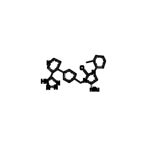 CCCCc1cn(-c2ccccc2C)c(=O)n1Cc1ccc(-c2ccncc2-c2nnn[nH]2)cc1